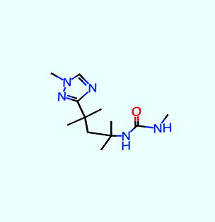 CNC(=O)NC(C)(C)CC(C)(C)c1ncn(C)n1